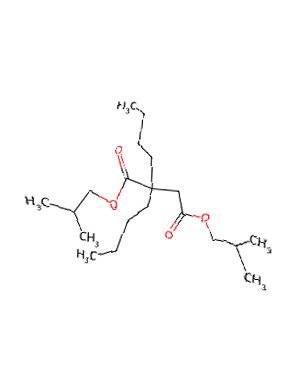 CCCCC(CCCC)(CC(=O)OCC(C)C)C(=O)OCC(C)C